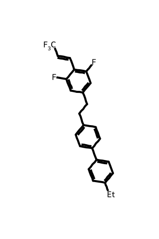 CCc1ccc(-c2ccc(CCc3cc(F)c(/C=C/C(F)(F)F)c(F)c3)cc2)cc1